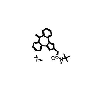 C=C1c2ccccc2C2=CC(C[Si](=O)N(C)C(C)(C)C)C=C2c2ccccc21.[CH3][Ti][CH3]